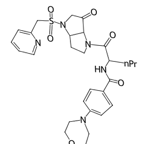 CCCC(NC(=O)c1ccc(N2CCOCC2)cc1)C(=O)N1CCC2C1C(=O)CN2S(=O)(=O)Cc1ccccn1